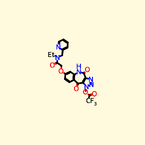 CCN(Cc1ccccn1)C(=O)COc1ccc2c(=O)c3c(nnn3OC(=O)C(F)(F)F)c(=O)[nH]c2c1